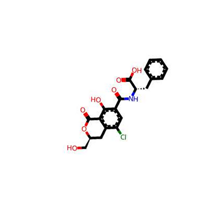 O=C(N[C@@H](Cc1ccccc1)C(=O)O)c1cc(Cl)c2c(c1O)C(=O)O[C@H](CO)C2